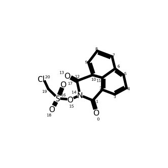 O=C1c2cccc3cccc(c23)C(=O)N1OS(=O)(=O)CCl